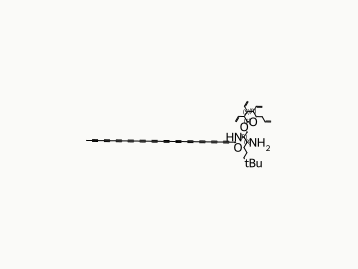 C=CCC1O[C@H](OC[C@H](NC(=O)C#CC#CC#CC#CC#CC#CC#CC#CC#CC#CC#CC#CC)[C@H](N)CCCC(C)(C)C)C(C=C)[C@@H](C=C)[C@H]1C=C